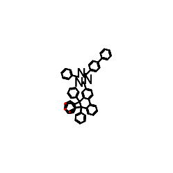 c1ccc(-c2ccc(-c3nc(-c4ccccc4)nc(-c4ccc5c(c4)C(c4ccccc4)(c4ccccc4)C(c4ccccc4)(c4ccccc4)c4ccccc4-5)n3)cc2)cc1